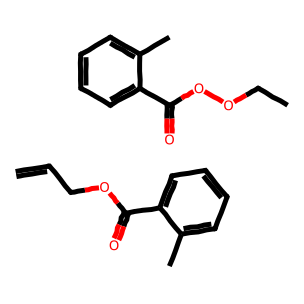 C=CCOC(=O)c1ccccc1C.CCOOC(=O)c1ccccc1C